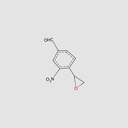 O=Cc1ccc(C2CO2)c([N+](=O)[O-])c1